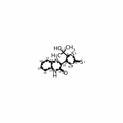 CC(C)(O)c1sc(=S)sc1-c1nc2ccccc2[nH]c1=O